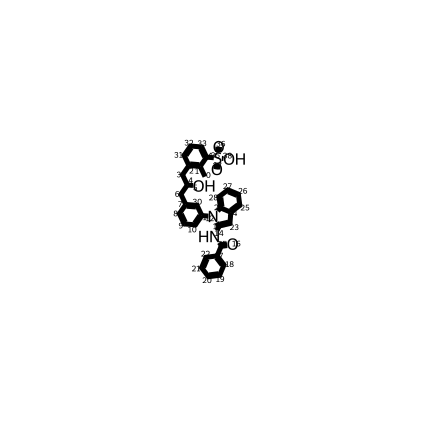 Cc1c(CC(O)Cc2cccc(-n3c(NC(=O)c4ccccc4)cc4ccccc43)c2)cccc1S(=O)(=O)O